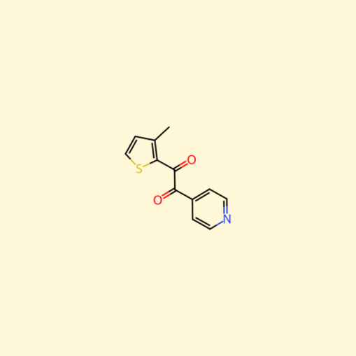 Cc1ccsc1C(=O)C(=O)c1ccncc1